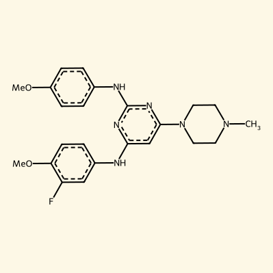 COc1ccc(Nc2nc(Nc3ccc(OC)c(F)c3)cc(N3CCN(C)CC3)n2)cc1